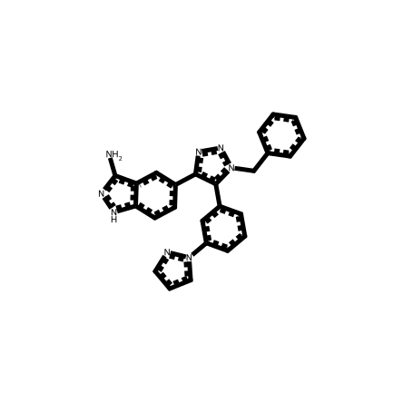 Nc1n[nH]c2ccc(-c3nnn(Cc4ccccc4)c3-c3cccc(-n4cccn4)c3)cc12